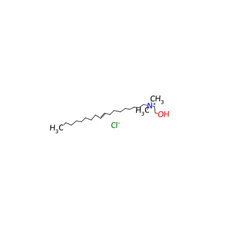 CCCCCCCCC=CCCCCCCCC[N+](C)(C)CCO.[Cl-]